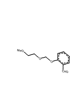 COCCOCOc1ccccc1C=O